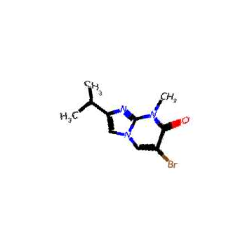 CC(C)c1cn2cc(Br)c(=O)n(C)c2n1